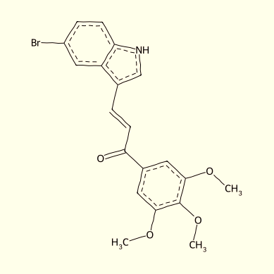 COc1cc(C(=O)/C=C/c2c[nH]c3ccc(Br)cc23)cc(OC)c1OC